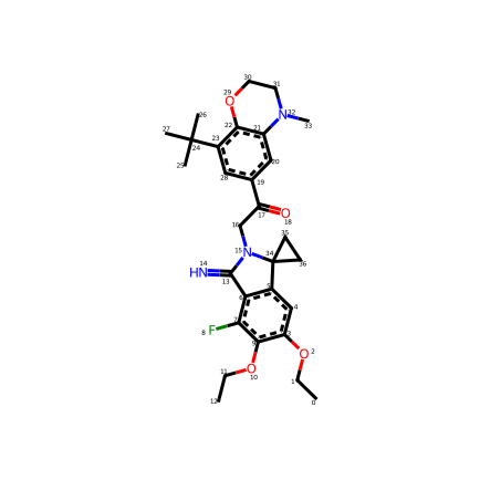 CCOc1cc2c(c(F)c1OCC)C(=N)N(CC(=O)c1cc3c(c(C(C)(C)C)c1)OCCN3C)C21CC1